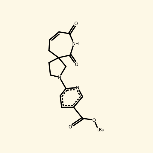 CC(C)(C)OC(=O)c1ccc(N2CCC3(CC=CC(=O)NC3=O)C2)nc1